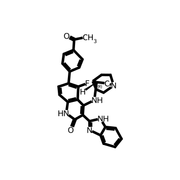 CC(=O)c1ccc(-c2ccc3[nH]c(=O)c(-c4nc5ccccc5[nH]4)c(N[C@H]4CN5CCC4CC5)c3c2F)cc1